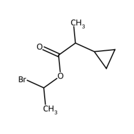 CC(Br)OC(=O)C(C)C1CC1